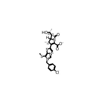 CSc1c2sc(C3=C(C(=O)[O-])N4C(=O)[C@H]([C@@H](C)O)[C@H]4[C@H]3C)c[n+]2cn1Cc1ccc(Cl)cc1